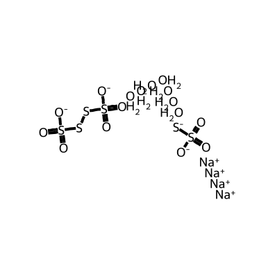 O.O.O.O.O.O.O.O=S(=O)([O-])SSS(=O)(=O)[O-].O=S(=O)([O-])[S-].[Na+].[Na+].[Na+].[Na+]